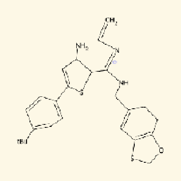 C=C/N=C(/NCC1=CC2=C(CC1)OCS2)C1SC(c2ccc(C(C)(C)C)cc2)=CC1N